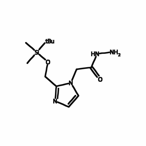 CC(C)(C)[Si](C)(C)OCc1nccn1CC(=O)NN